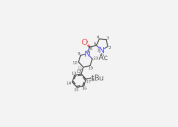 CC(=O)N1CCCC1C(=O)N1CCC(c2ccccc2C(C)(C)C)CC1